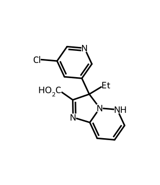 CCC1(c2cncc(Cl)c2)C(C(=O)O)=NC2=CC=CNN21